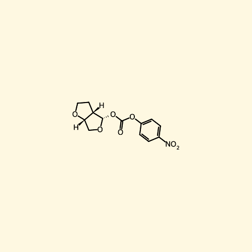 O=C(Oc1ccc([N+](=O)[O-])cc1)O[C@@H]1OC[C@@H]2OCC[C@H]12